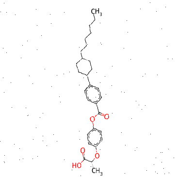 CCCCCCCC1CCC(c2ccc(C(=O)Oc3ccc(O[C@H](C)C(=O)O)cc3)cc2)CC1